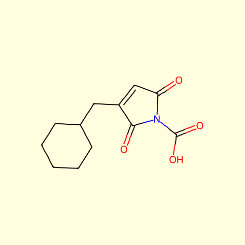 O=C(O)N1C(=O)C=C(CC2CCCCC2)C1=O